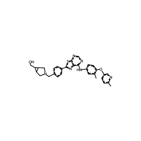 Cc1ccc(Oc2ccc(Nc3ncnc4sc(-c5ccc(CN6CC7C(CO)C7C6)cc5)nc34)cc2C)cn1